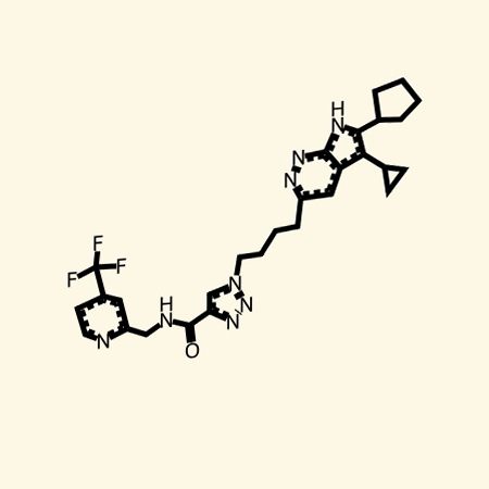 O=C(NCc1cc(C(F)(F)F)ccn1)c1cn(CCCCc2cc3c(C4CC4)c(C4CCCC4)[nH]c3nn2)nn1